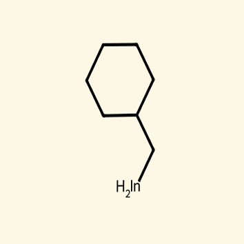 [InH2][CH2]C1CCCCC1